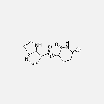 O=C1CCC(NC(=O)c2ccnc3cc[nH]c23)C(=O)N1